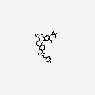 COc1cc([C@@H]2CC2(F)F)c(F)cc1-n1c(=O)ccc2cc(S(=O)(=O)Nc3ccon3)ccc21